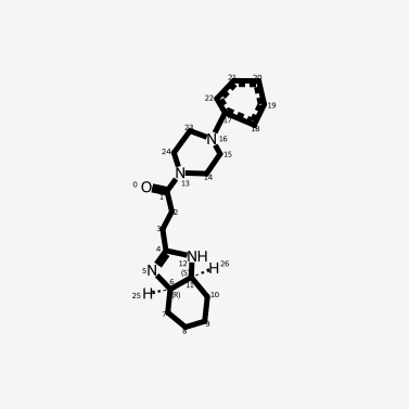 O=C(CCC1=N[C@@H]2CCCC[C@@H]2N1)N1CCN(c2ccccc2)CC1